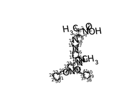 C[C@H]1CN(C(=O)O)CC[C@H]1CN1CCN(c2ccc3c(-c4ccc(OCc5ccccc5)nc4OCc4ccccc4)nn(C)c3c2)CC1